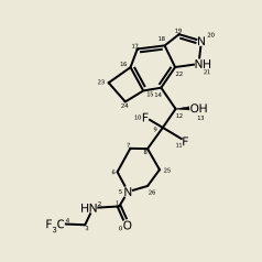 O=C(NCC(F)(F)F)N1CCC(C(F)(F)[C@H](O)c2c3c(cc4cn[nH]c24)CC3)CC1